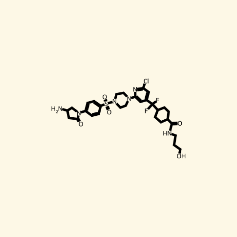 NC1CC(=O)N(c2ccc(S(=O)(=O)N3CCN(c4cc(C(F)(F)C5CCC(C(=O)NCCCO)CC5)cc(Cl)n4)CC3)cc2)C1